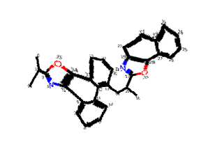 CC(C)c1nc2c3ccccc3c3c(CC(C)c4nc5ccc6ccccc6c5o4)cccc3c2o1